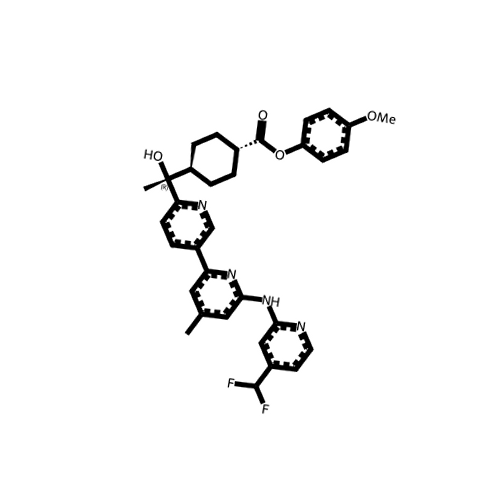 COc1ccc(OC(=O)[C@H]2CC[C@H]([C@@](C)(O)c3ccc(-c4cc(C)cc(Nc5cc(C(F)F)ccn5)n4)cn3)CC2)cc1